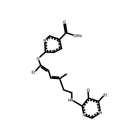 CC/C(=C\C=C(/C)CCNc1ncnc(CC)c1Cl)Oc1ccc(C(=O)OC)cn1